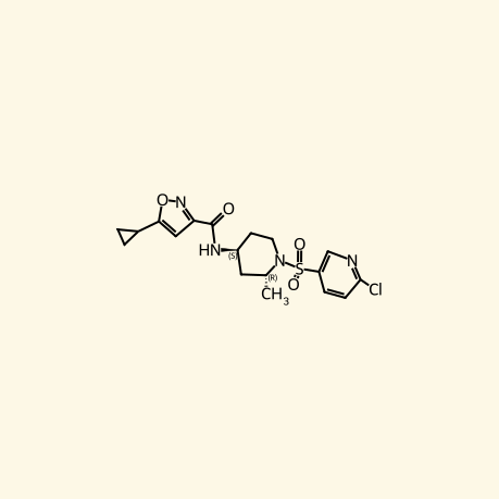 C[C@@H]1C[C@@H](NC(=O)c2cc(C3CC3)on2)CCN1S(=O)(=O)c1ccc(Cl)nc1